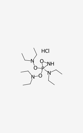 CCN(CC)OP1(ON(CC)CC)(N(CC)CC)NO1.Cl